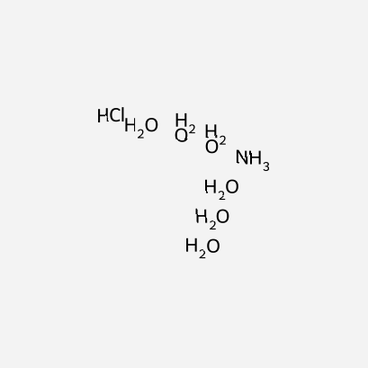 Cl.N.O.O.O.O.O.O